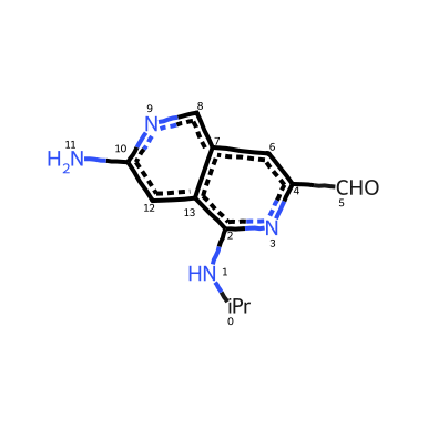 CC(C)Nc1nc(C=O)cc2cnc(N)cc12